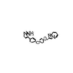 c1ccn2cc(COc3ccc(Oc4ccc(-c5ccn[nH]5)cc4)cc3)nc2c1